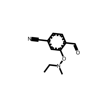 CCN(C)Oc1cc(C#N)ccc1C=O